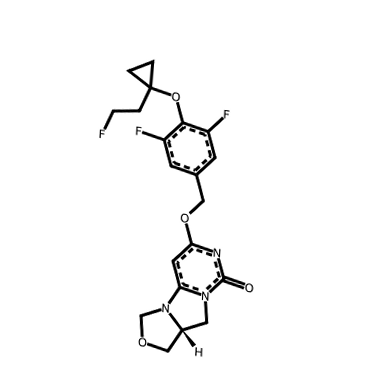 O=c1nc(OCc2cc(F)c(OC3(CCF)CC3)c(F)c2)cc2n1C[C@@H]1COCN21